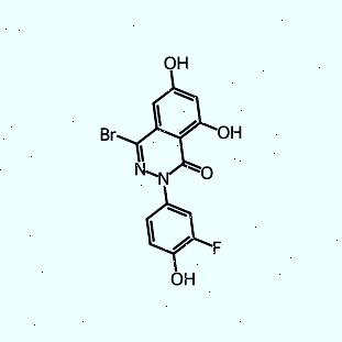 O=c1c2c(O)cc(O)cc2c(Br)nn1-c1ccc(O)c(F)c1